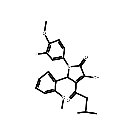 COc1ccc(N2C(=O)C(O)=C(C(=O)CC(C)C)C2c2ccccc2OC)cc1F